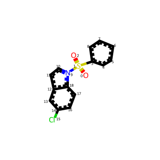 O=S(=O)(c1ccccc1)n1[c]cc2cc(Cl)ccc21